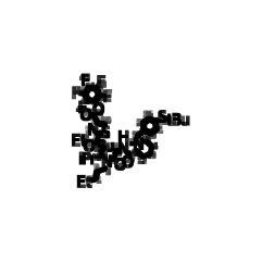 CCC=CCN(C(=O)[C@@H](NC(=O)[C@H]1CCCC[N+]1(C)Cc1ccc(SC(C)(C)C)cc1)C(C)CC)[C@H](C[C@@H](OCC)c1nc(C(=O)Oc2c(F)c(F)c(F)c(F)c2F)cs1)C(C)C